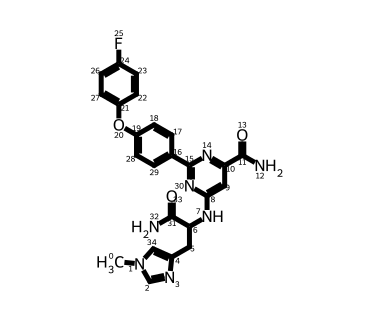 Cn1cnc(CC(Nc2cc(C(N)=O)nc(-c3ccc(Oc4ccc(F)cc4)cc3)n2)C(N)=O)c1